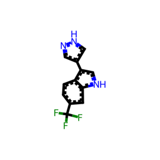 FC(F)(F)c1ccc2c(-c3cn[nH]c3)c[nH]c2c1